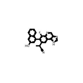 CC(C#N)c1cc2c(ncc3nc[nH]c32)c(F)c1-c1cc(O)cc2ccccc12